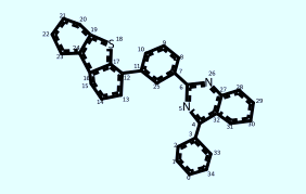 c1ccc(-c2nc(-c3cccc(-c4cccc5c4sc4ccccc45)c3)nc3ccccc23)cc1